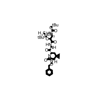 CC(C)(C)OC(=O)NCC(O[Si](C)(C)C(C)(C)C)C(=O)NNC(=O)[C@@H]1CC2(CC2)[C@H]2CN1C(=O)N2OCc1ccccc1